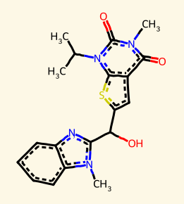 CC(C)n1c(=O)n(C)c(=O)c2cc(C(O)c3nc4ccccc4n3C)sc21